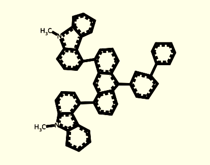 Cn1c2ccccc2c2c(-c3cccc4c(-c5cccc(-c6ccccc6)c5)c5cccc(-c6cccc7c6c6ccccc6n7C)c5cc34)cccc21